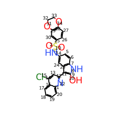 O=S(=O)(Nc1ccc2[nH]c(O)c(-c3cc(Cl)c4ccccc4n3)c2c1)c1ccc2c(c1)OCCO2